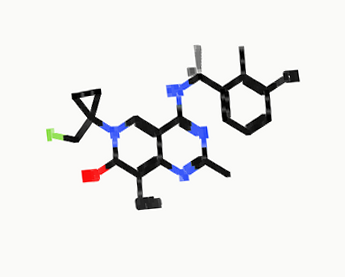 COC1=c2nc(C)nc(N[C@H](C)c3cccc(C#N)c3C)c2=CN(C2(CF)CC2)C1O